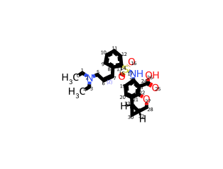 CCN(CC)C/C=C\c1ccccc1S(=O)(=O)Nc1ccc2c(c1C(=O)O)OC[C@@H]1C[C@H]21